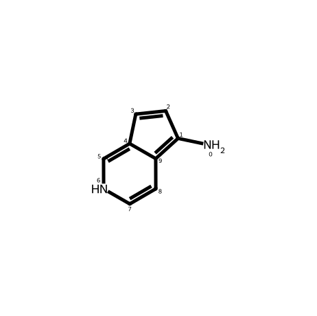 Nc1ccc2[c][nH]ccc1-2